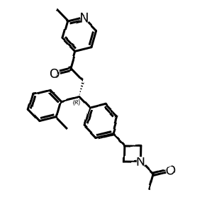 CC(=O)N1CC(c2ccc([C@@H](CC(=O)c3ccnc(C)c3)c3ccccc3C)cc2)C1